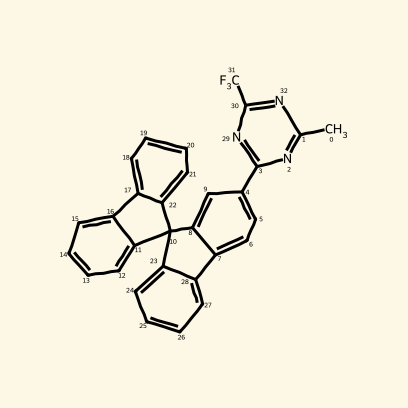 Cc1nc(-c2ccc3c(c2)C2(c4ccccc4-c4ccccc42)c2ccccc2-3)nc(C(F)(F)F)n1